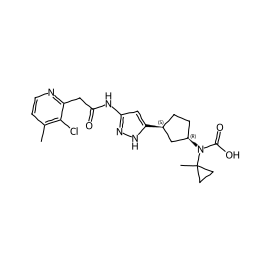 Cc1ccnc(CC(=O)Nc2cc([C@H]3CC[C@@H](N(C(=O)O)C4(C)CC4)C3)[nH]n2)c1Cl